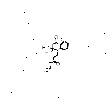 CCOC(=O)CCN1c2ccccc2C(C)CC1(C)C